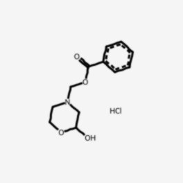 Cl.O=C(OCN1CCOC(O)C1)c1ccccc1